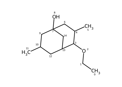 CCOC1C(C)CC2(O)CC(C)CC1C2